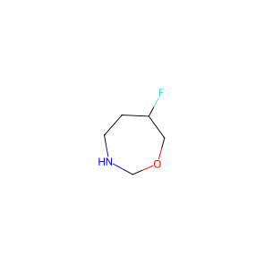 FC1CCNCOC1